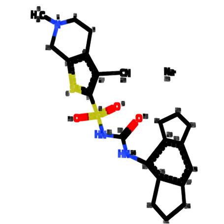 CN1CCc2c(sc(S(=O)(=O)NC(=O)Nc3c4c(cc5c3CCC5)CCC4)c2C#N)C1.[Na]